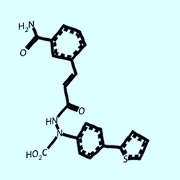 NC(=O)c1cccc(C=CC(=O)NN(C(=O)O)c2ccc(-c3cccs3)cc2)c1